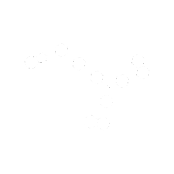 c1cc(-c2ccc(-c3ccc(N(c4ccc(-c5cccc6ccccc56)cc4)c4ccc(-c5cccc6ccccc56)cc4)cc3)cc2)cc(-c2cc3ccccc3o2)c1